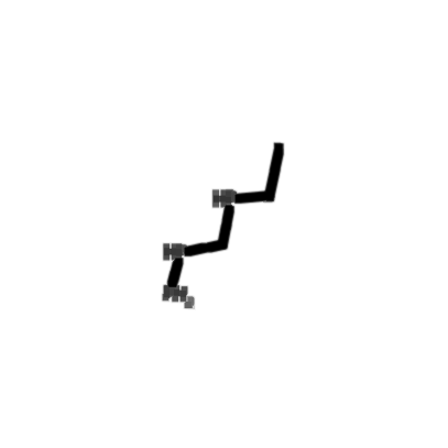 CCPCPP